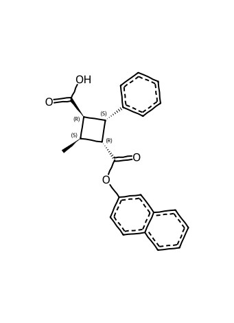 C[C@H]1[C@@H](C(=O)O)[C@H](c2ccccc2)[C@@H]1C(=O)Oc1ccc2ccccc2c1